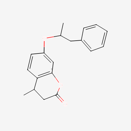 CC(Cc1ccccc1)Oc1ccc2c(c1)OC(=O)CC2C